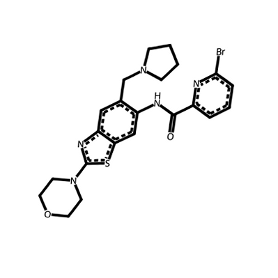 O=C(Nc1cc2sc(N3CCOCC3)nc2cc1CN1CCCC1)c1cccc(Br)n1